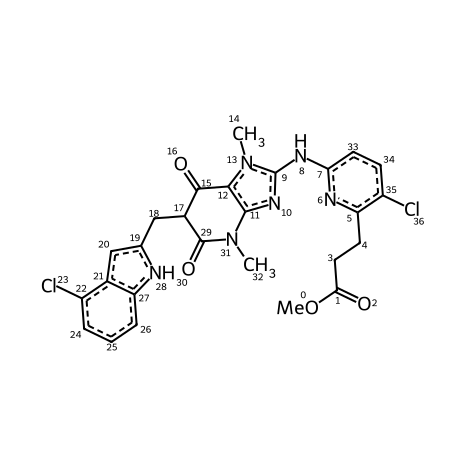 COC(=O)CCc1nc(Nc2nc3c(n2C)C(=O)C(Cc2cc4c(Cl)cccc4[nH]2)C(=O)N3C)ccc1Cl